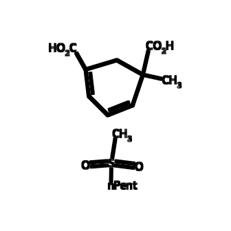 CC1(C(=O)O)C=CC=C(C(=O)O)C1.CCCCCS(C)(=O)=O